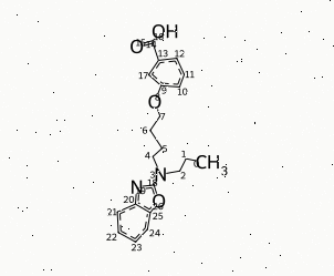 CCCN(CCCCOc1cccc(C(=O)O)c1)c1nc2ccccc2o1